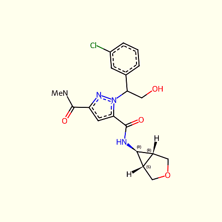 CNC(=O)c1cc(C(=O)N[C@H]2[C@@H]3COC[C@@H]32)n(C(CO)c2cccc(Cl)c2)n1